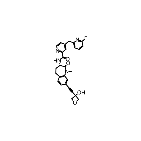 CN1C(=O)[C@@H](NC(=O)c2cc(Cc3cccc(F)n3)ccn2)CCc2ccc(C#CC3(O)COC3)cc21